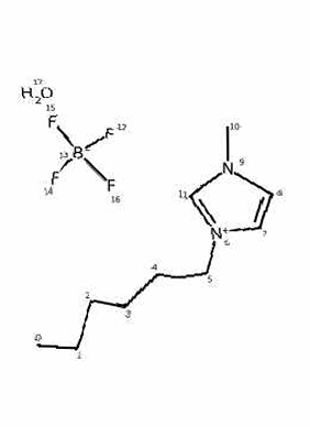 CCCCCC[n+]1ccn(C)c1.F[B-](F)(F)F.O